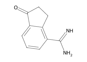 N=C(N)c1cccc2c1CCC2=O